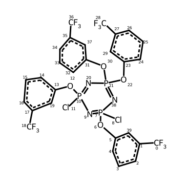 FC(F)(F)c1cccc(OP2(Cl)=NP(Cl)(Oc3cccc(C(F)(F)F)c3)=NP(Oc3cccc(C(F)(F)F)c3)(Oc3cccc(C(F)(F)F)c3)=N2)c1